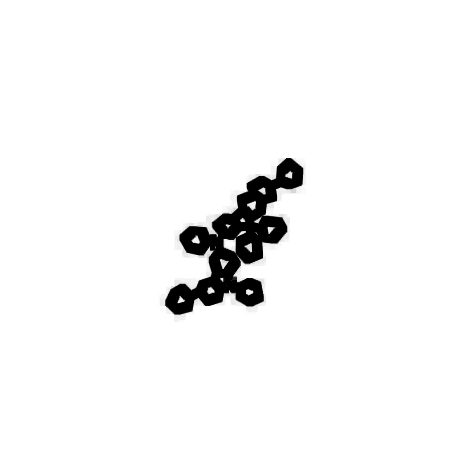 c1ccc(-c2ccc3cc4c(cc3c2)C(c2ccccc2)(c2ccccc2)c2cc(N(c3ccccc3)c3ccc5c(c3)c3cc(-c6ccccc6)ccc3n5-c3ccccc3)ccc2-4)cc1